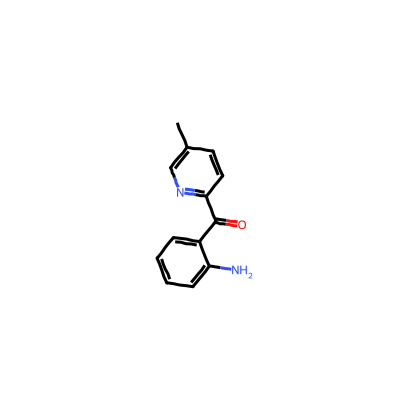 Cc1ccc(C(=O)c2ccccc2N)nc1